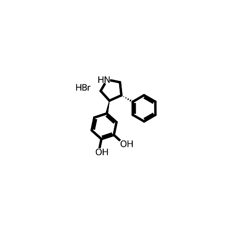 Br.Oc1ccc([C@H]2CNC[C@@H]2c2ccccc2)cc1O